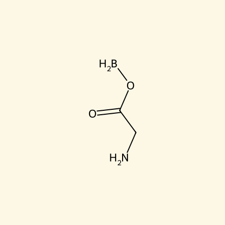 BOC(=O)CN